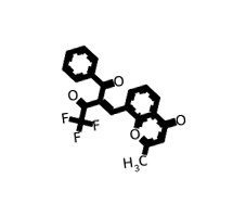 Cc1cc(=O)c2cccc(/C=C(\C(=O)c3ccccc3)C(=O)C(F)(F)F)c2o1